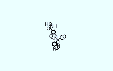 O=C(NO)c1ccc2c(c1)OC[C@H](c1ccc3nccnc3c1)N(C(=O)C1CCOCC1)C2